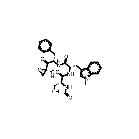 CC[C@@H](NC=O)C(=O)N[C@@H](Cc1c[nH]c2ccccc12)C(=O)N[C@@H](Cc1ccccc1)C(=O)[C@@]1(C)CO1